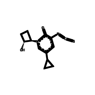 O=c1c(N=C=S)cc(C2CC2)cn1[C@@H]1CC[C@H]1O